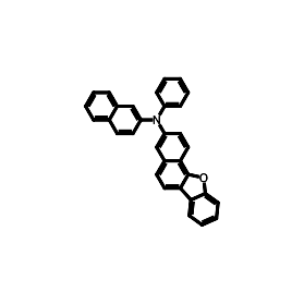 c1ccc(N(c2ccc3ccccc3c2)c2ccc3c(ccc4c5ccccc5oc34)c2)cc1